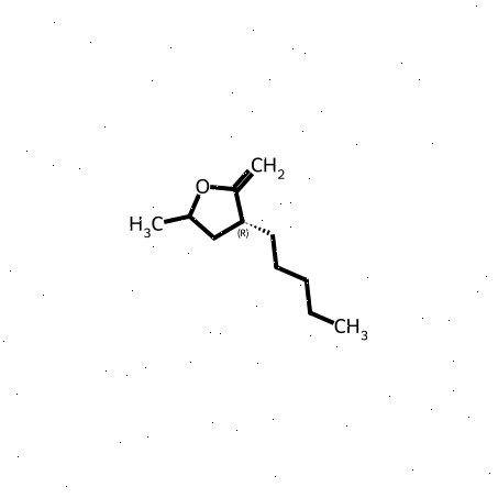 C=C1OC(C)C[C@H]1CCCCC